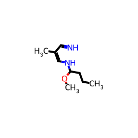 CCCC(N/C=C(/C)C=N)OC